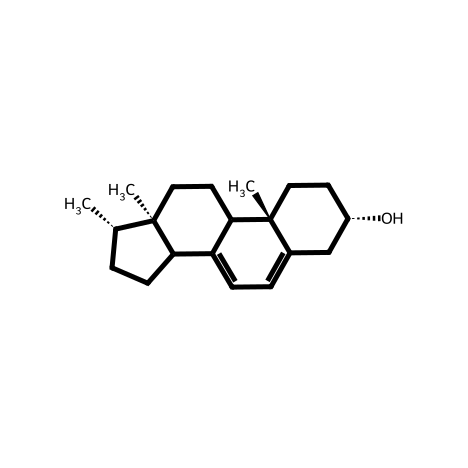 C[C@H]1CCC2C3=CC=C4C[C@@H](O)CC[C@@]4(C)C3CC[C@@]21C